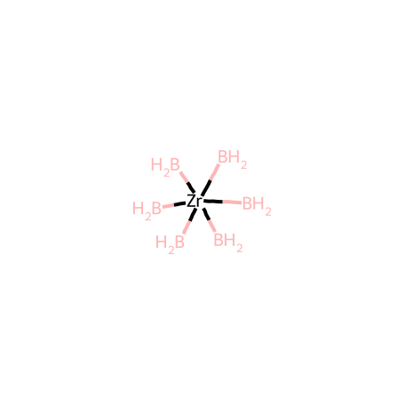 [BH2][Zr]([BH2])([BH2])([BH2])([BH2])[BH2]